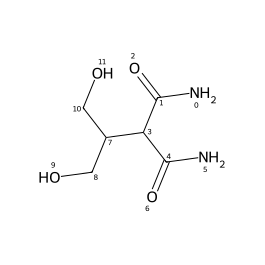 NC(=O)C(C(N)=O)C(CO)CO